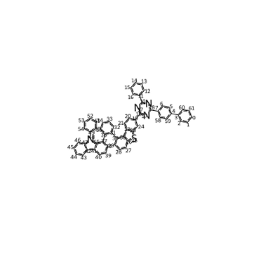 c1ccc(-c2ccc(-c3nc(-c4ccccc4)nc(-c4ccc5c(c4)sc4cccc(-c6ccccc6-c6cccc7c8ccccc8n(-c8ccccc8)c67)c45)n3)cc2)cc1